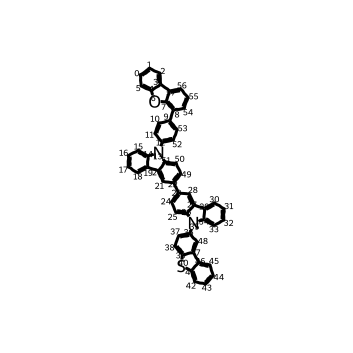 c1ccc2c(c1)oc1c(-c3ccc(-n4c5ccccc5c5cc(-c6ccc7c(c6)c6ccccc6n7-c6ccc7sc8ccccc8c7c6)ccc54)cc3)cccc12